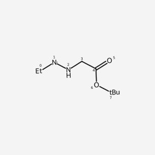 CC[N]NCC(=O)OC(C)(C)C